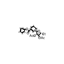 CC[C@H]1O[C@@H]([n+]2cccc(C(=O)Oc3ccccc3)c2)[C@@H](OC(C)=O)C1OC(C)=O